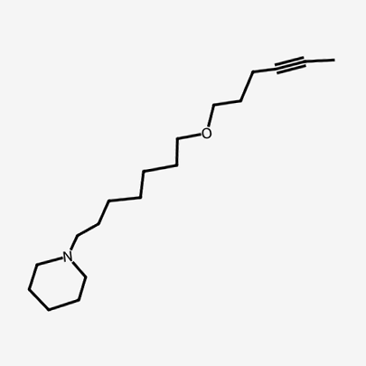 CC#CCCCOCCCCCCCN1CCCCC1